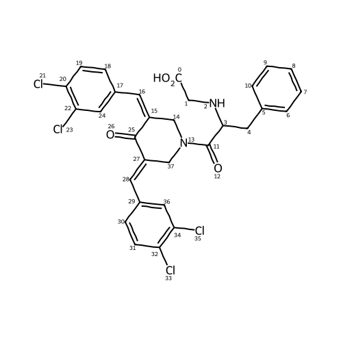 O=C(O)CNC(Cc1ccccc1)C(=O)N1CC(=Cc2ccc(Cl)c(Cl)c2)C(=O)C(=Cc2ccc(Cl)c(Cl)c2)C1